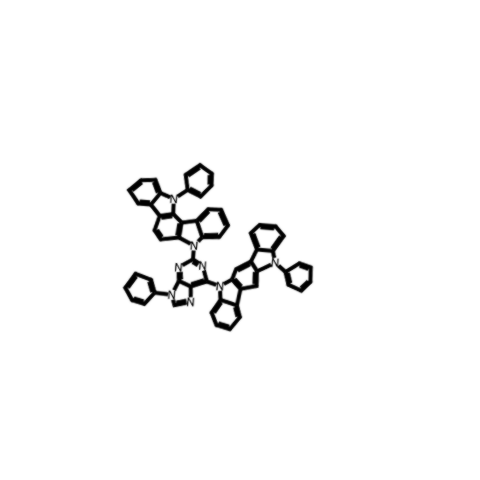 c1ccc(-n2cnc3c(-n4c5ccccc5c5cc6c(cc54)c4ccccc4n6-c4ccccc4)nc(-n4c5ccccc5c5c4ccc4c6ccccc6n(-c6ccccc6)c45)nc32)cc1